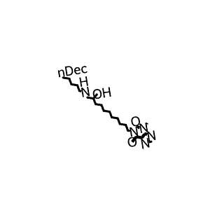 CCCCCCCCCCCCCCCNCC(O)CCCCCCCCCn1c(=O)c2c(ncn2C)n(C)c1=O